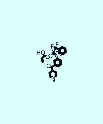 C=CC(=O)O.CN1CCC(C(=O)c2cccc(N(C(N)=O)c3ccccc3C(F)(F)F)c2)CC1